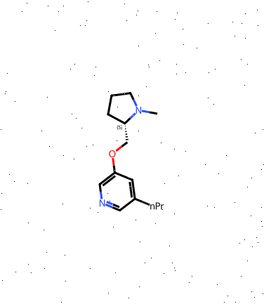 CCCc1cncc(OC[C@@H]2CCCN2C)c1